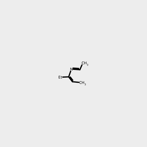 CC=NC(=CC)CC